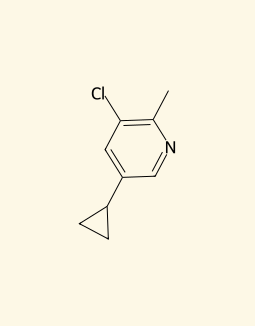 Cc1ncc(C2CC2)cc1Cl